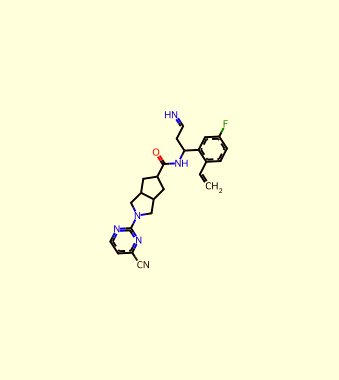 C=Cc1ccc(F)cc1C(CC=N)NC(=O)C1CC2CN(c3nccc(C#N)n3)CC2C1